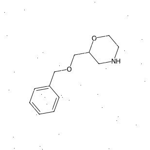 c1ccc(COCC2CNCCO2)cc1